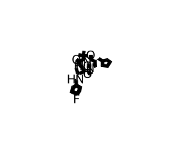 CC(C)(C)[C@H](NC(=O)[C@H](CC1CCCC1)CN(O)C=O)C(=O)N1CCC(NCc2ccc(F)cc2)CC1